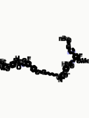 C/C=C(\C=C/COCCOCCCC)c1cc(F)c(OC)c(/C=C/C(=O)Nc2ccc([S@@+]([O-])Cc3c(C)ncn3CCCCCCOCCOc3ccc(-c4cc(F)c(OC)c(/C=C/C(=O)Nc5ccc([S@+]([O-])Cc6c(C)ncn6CC)cc5)c4)cc3)cc2)c1